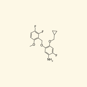 COc1ccc(F)c(F)c1COc1cc(N)c(F)cc1OCC1CC1